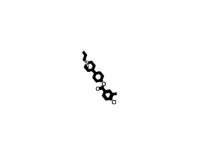 CCC[SiH]1CCC(C2CCC(OC(=O)c3ccc(Cl)c(C)c3)CC2)CC1